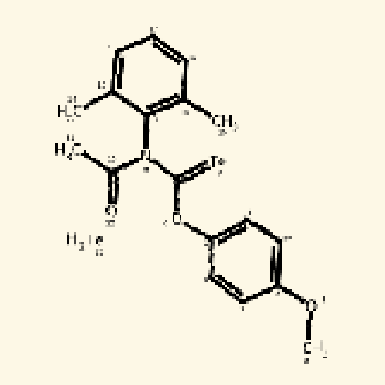 COc1ccc(OC(=[Te])N(C(C)=O)c2c(C)cccc2C)cc1.[TeH2]